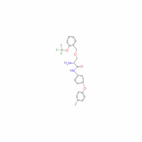 N[C@@H](COCc1ccccc1OC(F)(F)F)C(=O)Nc1ccc(Oc2ccc(F)cc2)cc1